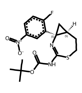 CC(C)(C)OC(=O)NC1=N[C@@]2(c3cc([N+](=O)[O-])ccc3F)C[C@H]2CCS1